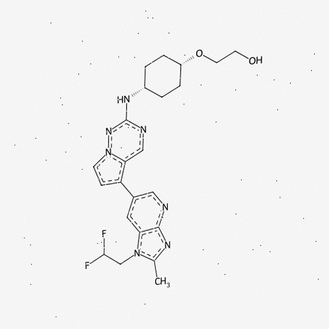 Cc1nc2ncc(-c3ccn4nc(N[C@H]5CC[C@@H](OCCO)CC5)ncc34)cc2n1CC(F)F